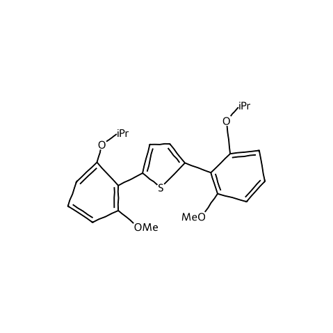 COc1cccc(OC(C)C)c1-c1ccc(-c2c(OC)cccc2OC(C)C)s1